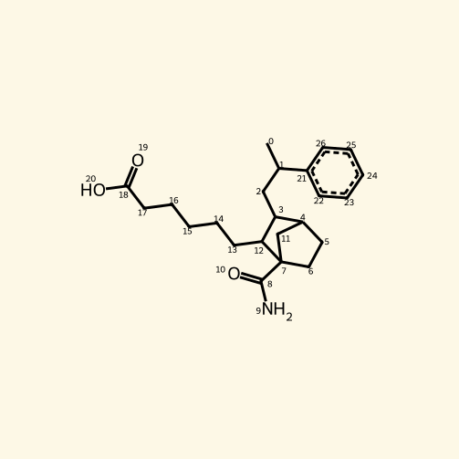 CC(CC1C2CCC(C(N)=O)(C2)C1CCCCCC(=O)O)c1ccccc1